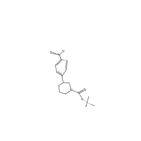 CC(C)(C)OC(=O)N1CCSC(c2ccc([N+](=O)[O-])cc2)C1